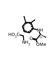 COC(=O)[C@H](C)Nc1cccc(C)c1C.NCC(=O)O